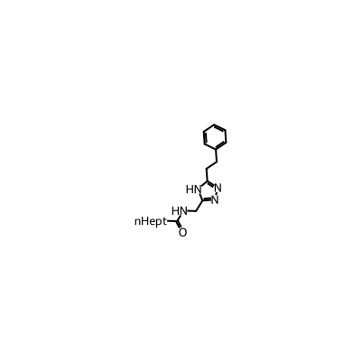 CCCCCCCC(=O)NCc1nnc(CCc2ccccc2)[nH]1